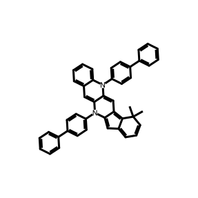 CC1(C)C=CC=c2cc3n(-c4ccc(-c5ccccc5)cc4)c4c(cc-3c21)N(c1ccc(-c2ccccc2)cc1)c1ccccc1C=4